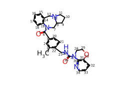 Cc1cc(C(=O)N2CC3CCCN3Cc3ccccc32)ccc1CNC(=O)N1CCOc2cccnc21